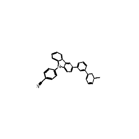 CC1C=CC=C(c2cccc(-c3ccc4c(c3)c3ccccc3n4-c3ccc(C#N)cc3)c2)C1